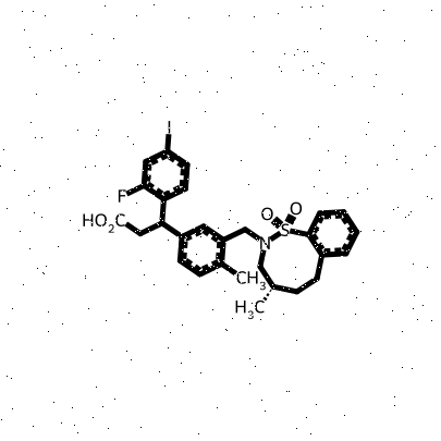 Cc1ccc(C(CC(=O)O)c2ccc(I)cc2F)cc1CN1C[C@@H](C)CCc2ccccc2S1(=O)=O